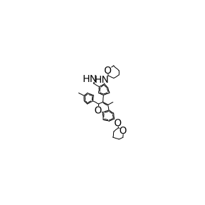 CC1=C(c2ccc(NC3CCCCO3)c(C=N)c2)C(c2ccc(C)cc2)Oc2ccc(OC3CCCCO3)cc21